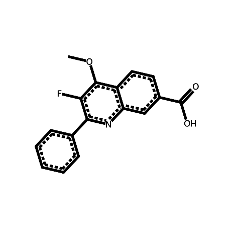 COc1c(F)c(-c2ccccc2)nc2cc(C(=O)O)ccc12